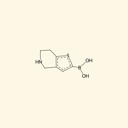 OB(O)c1cc2c(s1)CCNC2